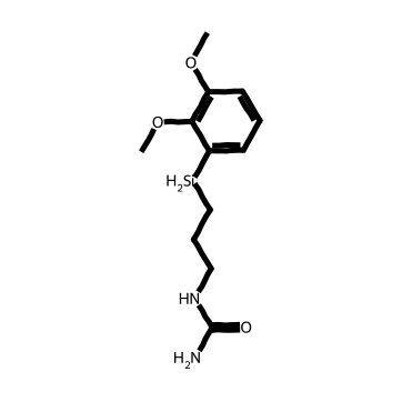 COc1cccc([SiH2]CCCNC(N)=O)c1OC